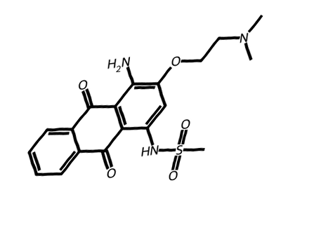 CN(C)CCOc1cc(NS(C)(=O)=O)c2c(c1N)C(=O)c1ccccc1C2=O